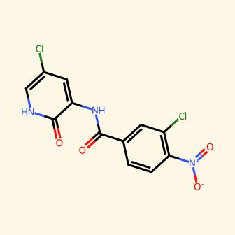 O=C(Nc1cc(Cl)c[nH]c1=O)c1ccc([N+](=O)[O-])c(Cl)c1